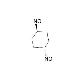 O=N[C@H]1CC[C@H](N=O)CC1